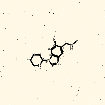 CNCc1cc2ncn(C3CCCCO3)c2cc1F